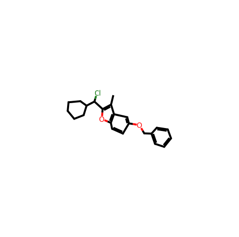 Cc1c(C(Cl)C2CCCCC2)oc2ccc(OCc3ccccc3)cc12